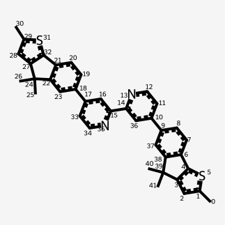 Cc1cc2c(s1)-c1ccc(-c3ccnc(-c4cc(-c5ccc6c(c5)C(C)(C)c5cc(C)sc5-6)ccn4)c3)cc1C2(C)C